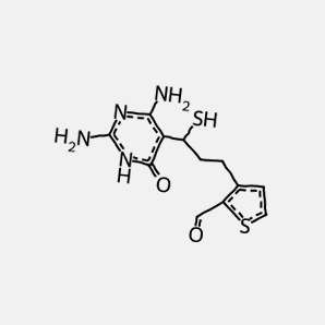 Nc1nc(N)c(C(S)CCc2ccsc2C=O)c(=O)[nH]1